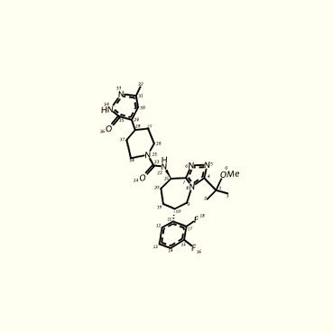 COC(C)(C)c1nnc2n1C[C@H](c1cccc(F)c1F)CC[C@H]2NC(=O)N1CCC(c2cc(C)n[nH]c2=O)CC1